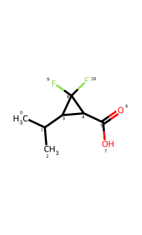 CC(C)C1C(C(=O)O)C1(F)F